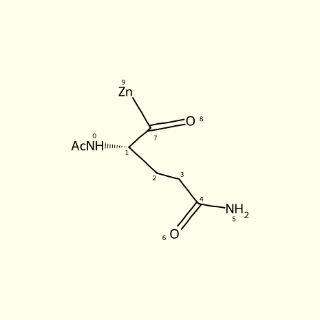 CC(=O)N[C@@H](CCC(N)=O)[C](=O)[Zn]